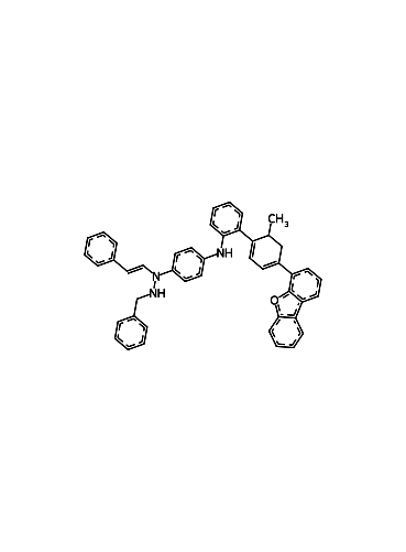 CC1CC(c2cccc3c2oc2ccccc23)=CC=C1c1ccccc1Nc1ccc(N(/C=C/c2ccccc2)NCc2ccccc2)cc1